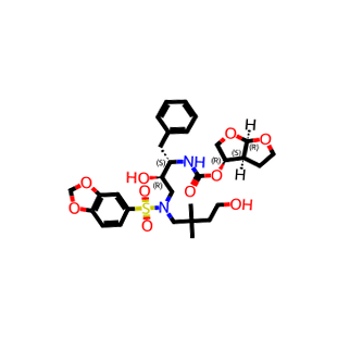 CC(C)(CCO)CN(C[C@@H](O)[C@H](Cc1ccccc1)NC(=O)O[C@H]1CO[C@H]2OCC[C@H]21)S(=O)(=O)c1ccc2c(c1)OCO2